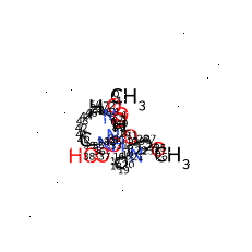 CCOC(=O)N1C(=O)[C@@H]2CC(Oc3cc(-c4ccccc4)nc4cc(OC)ccc34)CN2C(=O)N[C@H](C(=O)O)CCCCC/C=C\[C@@H]2CC21